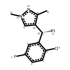 CC[C@H](c1cc(F)ccc1Cl)c1cn(C)nc1C